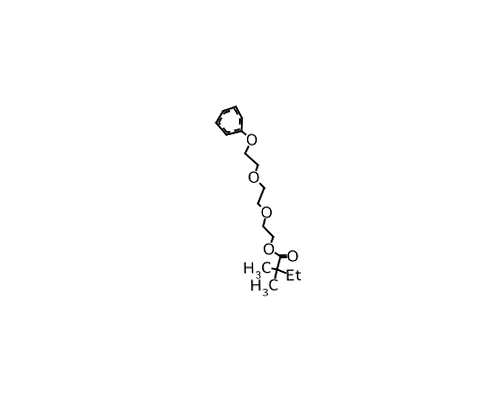 CCC(C)(C)C(=O)OCCOCCOCCOc1ccccc1